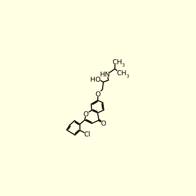 CC(C)NCC(O)COc1ccc2c(=O)cc(-c3ccccc3Cl)oc2c1